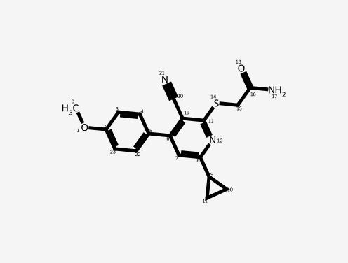 COc1ccc(-c2cc(C3CC3)nc(SCC(N)=O)c2C#N)cc1